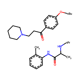 CCCCOc1ccc(C(=O)CCN2CCCCC2)cc1.CCCNC(C)C(=O)Nc1ccccc1C